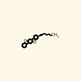 CCCCCC#Cc1ccc2c(c1)oc1cc3c(cc12)oc1ccccc13